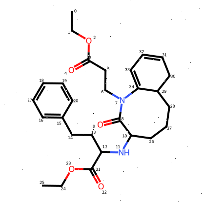 CCOC(=O)CCN1C(=O)C(NC(CCc2ccccc2)C(=O)OCC)CCCC2CC=CC=C21